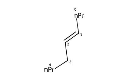 [CH2]CC/C=C/CCC[CH2]